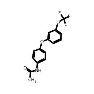 CC(=O)Nc1ccc(Oc2cccc(OC(F)(F)F)c2)cc1